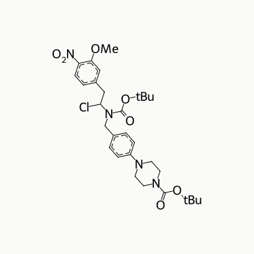 COc1cc(CC(Cl)N(Cc2ccc(N3CCN(C(=O)OC(C)(C)C)CC3)cc2)C(=O)OC(C)(C)C)ccc1[N+](=O)[O-]